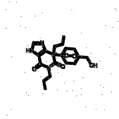 CCCN1C(=O)c2[nH]cnc2[N+](CCC)(C23CCC(CO)(CC2)CO3)C1=O